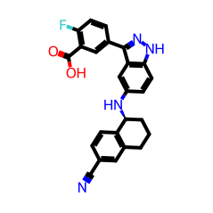 N#Cc1ccc2c(c1)CCC[C@@H]2Nc1ccc2[nH]nc(-c3ccc(F)c(C(=O)O)c3)c2c1